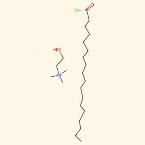 CCCCCCCCCCCCCCCCCC(=O)Cl.C[N+](C)(C)CCO